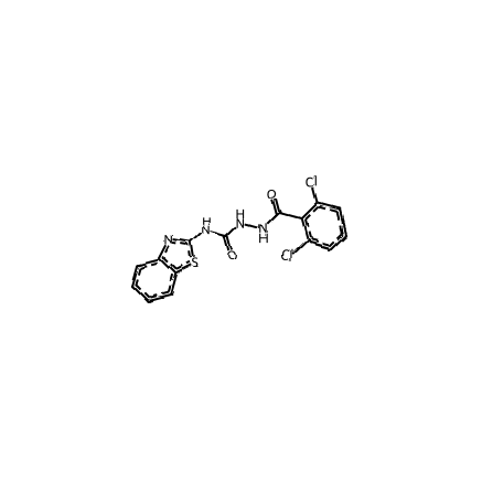 O=C(NNC(=O)c1c(Cl)cccc1Cl)Nc1nc2ccccc2s1